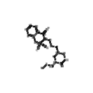 CCOC1CN(CCCN2C(=O)c3ccccc3CS2(=O)=O)CCO1